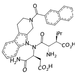 CC(C)[C@@H](C(=O)O)[C@H](N)C(=O)N([C@@H](CC(=O)O)C(N)=O)n1c2c(c3ccccc31)CCN(C(=O)c1ccc3ccccc3c1)C2